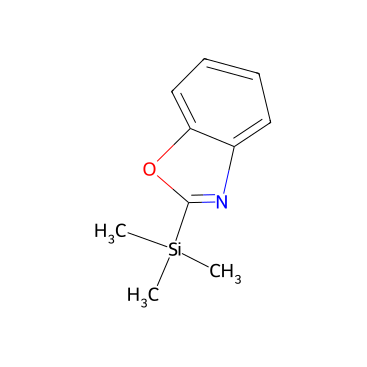 C[Si](C)(C)c1nc2ccccc2o1